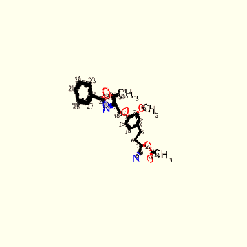 COc1cc(CCC(C#N)OC(C)=O)ccc1OCc1nc(-c2ccccc2)oc1C